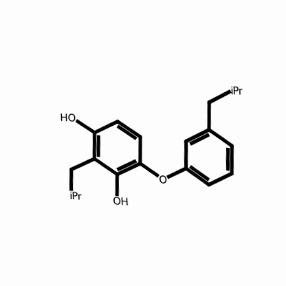 CC(C)Cc1cccc(Oc2ccc(O)c(CC(C)C)c2O)c1